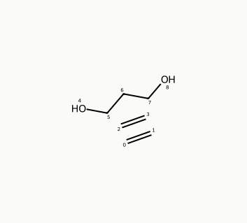 C=C.C=C.OCCCO